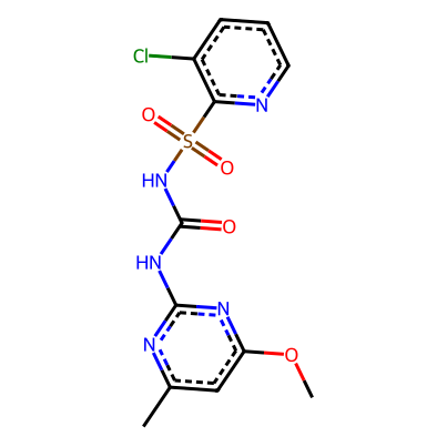 COc1cc(C)nc(NC(=O)NS(=O)(=O)c2ncccc2Cl)n1